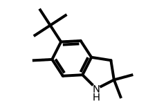 Cc1cc2c(cc1C(C)(C)C)CC(C)(C)N2